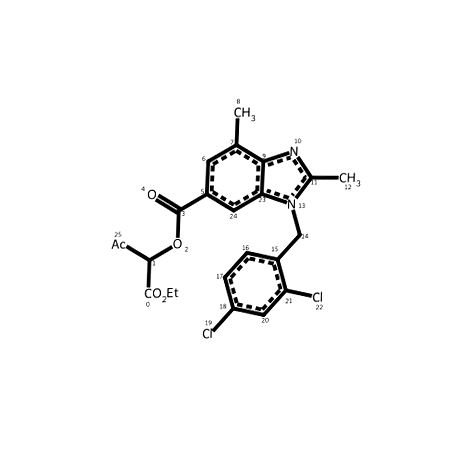 CCOC(=O)C(OC(=O)c1cc(C)c2nc(C)n(Cc3ccc(Cl)cc3Cl)c2c1)C(C)=O